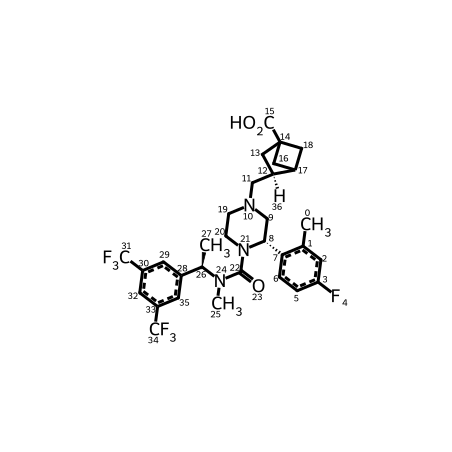 Cc1cc(F)ccc1[C@H]1CN(C[C@H]2CC3(C(=O)O)CC2C3)CCN1C(=O)N(C)[C@H](C)c1cc(C(F)(F)F)cc(C(F)(F)F)c1